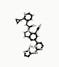 Cn1nccc1Nc1nccc(-c2cc(C#N)c3c(c2)CCN3C(=O)Cc2cccnc2C2CC2)n1